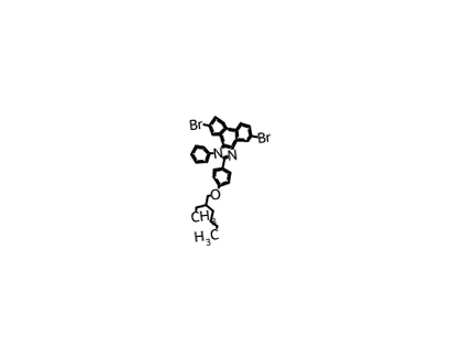 CCCCC(CC)COc1ccc(-c2nc3c4cc(Br)ccc4c4ccc(Br)cc4c3n2-c2ccccc2)cc1